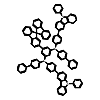 C1=Cc2c(c3cc(-c4ccc(N(c5ccc(-c6ccccc6)cc5)c5cc(-c6ccc7c(c6)C6(c8ccccc8-c8ccccc86)c6ccccc6-7)cc(N(c6ccc(-c7ccccc7)cc6)c6ccc(-c7ccc8c(c7)c7ccccc7n8-c7ccccc7)cc6)c5)cc4)ccc3n2-c2ccccc2)CC1